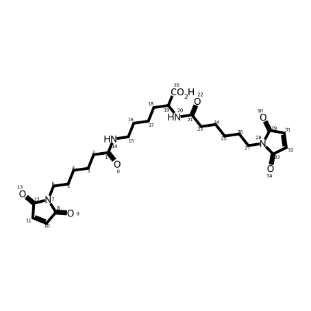 O=C(CCCCCN1C(=O)C=CC1=O)NCCCCC(NC(=O)CCCCCN1C(=O)C=CC1=O)C(=O)O